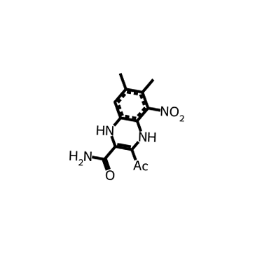 CC(=O)C1=C(C(N)=O)Nc2cc(C)c(C)c([N+](=O)[O-])c2N1